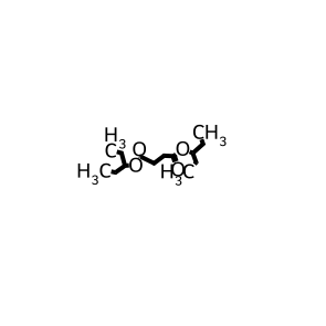 CCC(CC)OC(=O)CCC(=O)OC(CC)CC